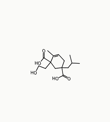 CC1=CCC(CC(C)C)(C(=O)O)CC1(CCO)C(=O)O